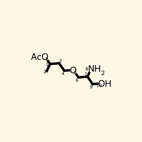 CC(=O)OC(C)CCOCC(N)CO